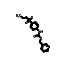 CCCS(=O)(=O)c1ccc(NC(=O)OCc2cccnc2)cc1